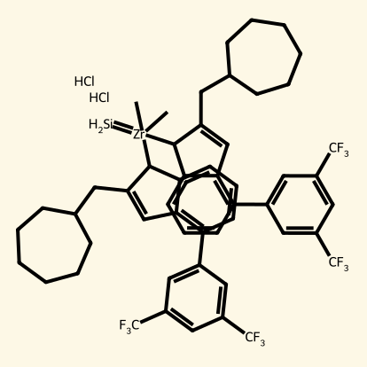 Cl.Cl.[CH3][Zr]([CH3])(=[SiH2])([CH]1C(CC2CCCCCC2)=Cc2c(-c3cc(C(F)(F)F)cc(C(F)(F)F)c3)cccc21)[CH]1C(CC2CCCCCC2)=Cc2c(-c3cc(C(F)(F)F)cc(C(F)(F)F)c3)cccc21